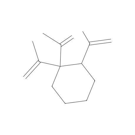 C=C(C)C1CCCCC1(C(=C)C)C(=C)C